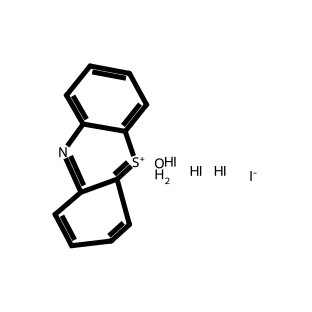 I.I.I.O.[I-].c1ccc2[s+]c3ccccc3nc2c1